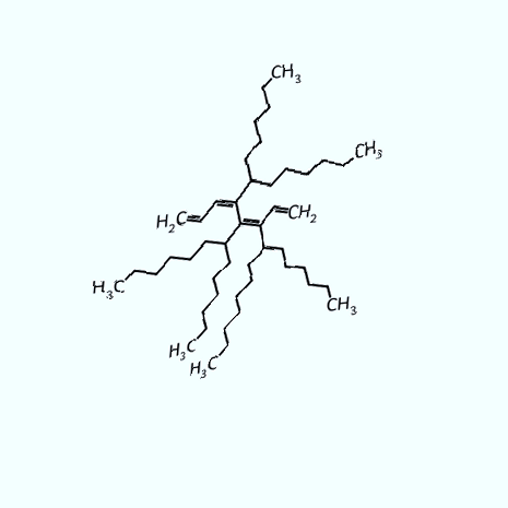 C=C/C=C(\C(=C(/C=C)C(CCCCCC)CCCCCCC)C(CCCCCC)CCCCCC)C(CCCCCC)CCCCCC